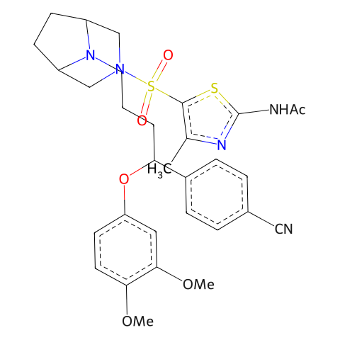 COc1ccc(OC(CCCN2C3CCC2CN(S(=O)(=O)c2sc(NC(C)=O)nc2C)C3)c2ccc(C#N)cc2)cc1OC